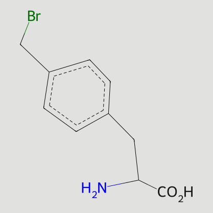 NC(Cc1ccc(CBr)cc1)C(=O)O